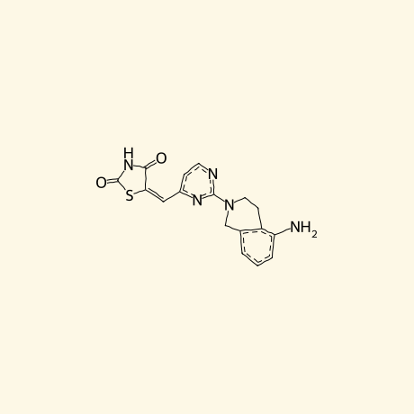 Nc1cccc2c1CCN(c1nccc(/C=C3/SC(=O)NC3=O)n1)C2